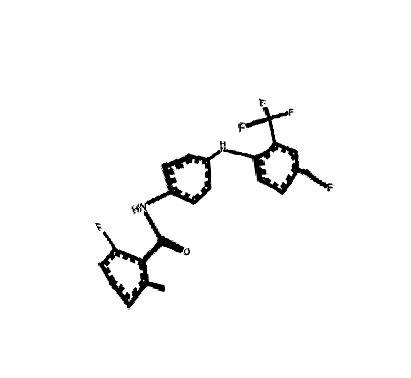 Cc1cccc(F)c1C(=O)Nc1ccc(Nc2ccc(F)cc2C(F)(F)F)cc1